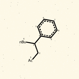 CCCCC(CC(C)=O)c1ccccc1